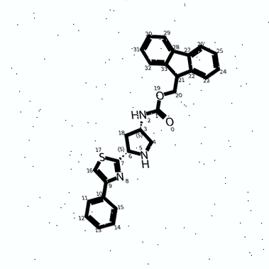 O=C(N[C@@H]1CN[C@H](c2nc(-c3ccccc3)cs2)C1)OCC1c2ccccc2-c2ccccc21